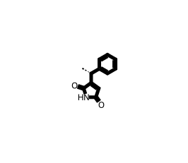 C[C@@H](C1=CC(=O)NC1=O)c1ccccc1